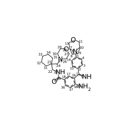 N=C(c1ccc(N2C3CCC2COC3)cc1)c1cc(C(=O)NCC2(CN3CCOCC3)CCCCC2)ccc1N